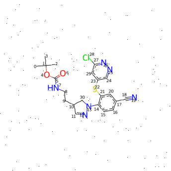 CC(C)(C)OC(=O)NCCC1C=NN(c2ccc(C#N)cc2Sc2cnnc(Cl)c2)C1